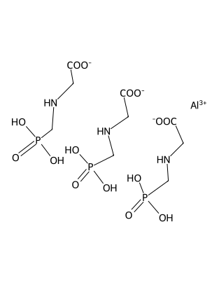 O=C([O-])CNCP(=O)(O)O.O=C([O-])CNCP(=O)(O)O.O=C([O-])CNCP(=O)(O)O.[Al+3]